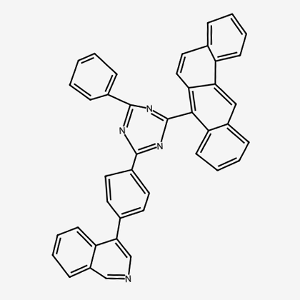 c1ccc(-c2nc(-c3ccc(-c4cncc5ccccc45)cc3)nc(-c3c4ccccc4cc4c3ccc3ccccc34)n2)cc1